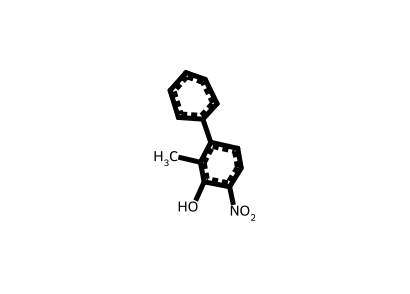 Cc1c(-c2ccccc2)ccc([N+](=O)[O-])c1O